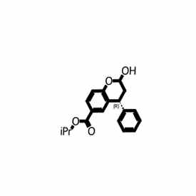 CC(C)OC(=O)c1ccc2c(c1)[C@@H](c1ccccc1)CC(O)O2